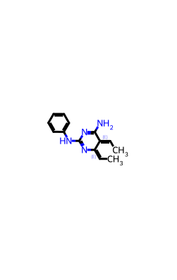 C/C=c1/nc(Nc2ccccc2)nc(N)/c1=C/C